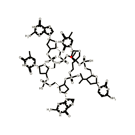 Cc1cn([C@H]2CC(CCOP(=O)(S)OC3C[C@H](n4cnc5c(=O)[nH]c(N)nc54)O[C@@H]3COP(=O)(S)OC3C[C@H](n4cc(C)c(=O)[nH]c4=O)O[C@@H]3COP(=S)(S)OC3C[C@H](n4cnc5c(=O)[nH]c(N)nc54)O[C@@H]3COP(=O)(S)OC(C)C)(OP(=O)(S)OC[C@H]3O[C@@H](n4ccc(N)nc4=O)CC3C(C)C)CO2)c(=O)[nH]c1=O